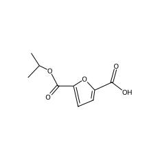 CC(C)OC(=O)c1ccc(C(=O)O)o1